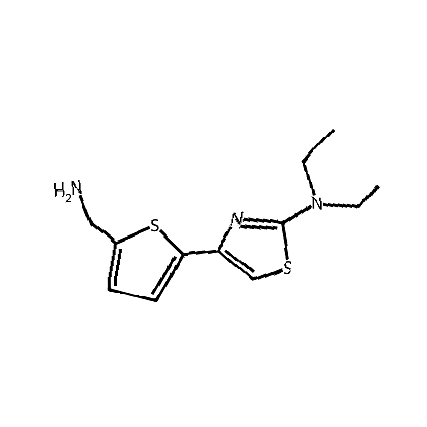 CCN(CC)c1nc(-c2ccc(CN)s2)cs1